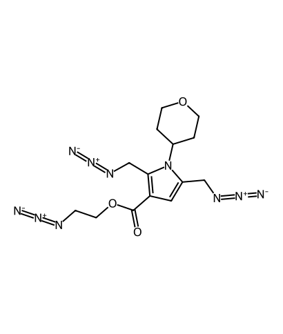 [N-]=[N+]=NCCOC(=O)c1cc(CN=[N+]=[N-])n(C2CCOCC2)c1CN=[N+]=[N-]